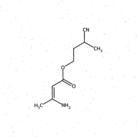 C/C(N)=C/C(=O)OCCC(C)C#N